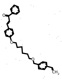 C=Cc1ccc(COCCCCCCOc2ccc(C=CC(=O)c3ccccc3)cc2)cc1